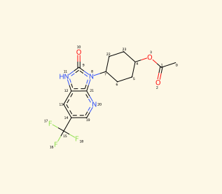 CC(=O)OC1CCC(n2c(=O)[nH]c3cc(C(F)(F)F)cnc32)CC1